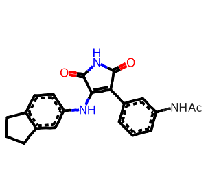 CC(=O)Nc1cccc(C2=C(Nc3ccc4c(c3)CCC4)C(=O)NC2=O)c1